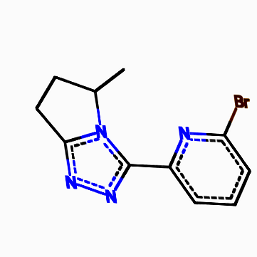 CC1CCc2nnc(-c3cccc(Br)n3)n21